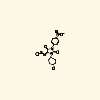 O=C1C(=NSCl)N(C2CCC(Cl)CC2)C(=O)N1c1ccc([N+](=O)[O-])cc1